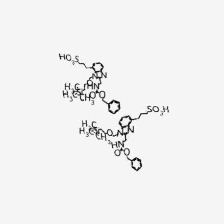 C[Si](C)(C)CCOCn1c(CNC(=O)OCc2ccccc2)nc2c(CCCS(=O)(=O)O)cccc21.C[Si](C)(C)CCOCn1c(CNC(=O)OCc2ccccc2)nc2cccc(CCCS(=O)(=O)O)c21